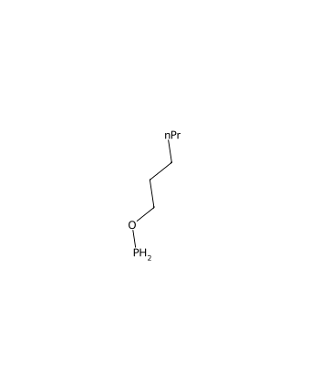 [CH2]CCCCCOP